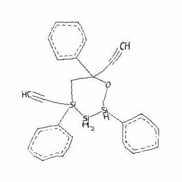 C#CC1(c2ccccc2)C[Si](C#C)(c2ccccc2)[SiH2][SiH](c2ccccc2)O1